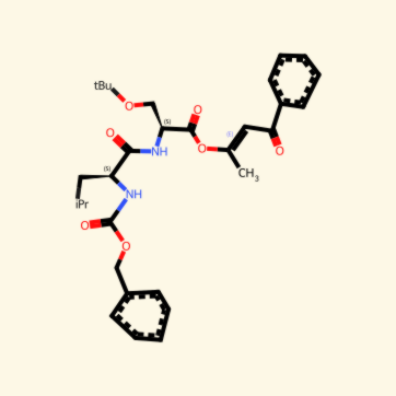 C/C(=C\C(=O)c1ccccc1)OC(=O)[C@H](COC(C)(C)C)NC(=O)[C@H](CC(C)C)NC(=O)OCc1ccccc1